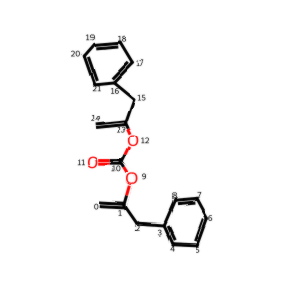 C=C(Cc1ccccc1)OC(=O)OC(=C)Cc1ccccc1